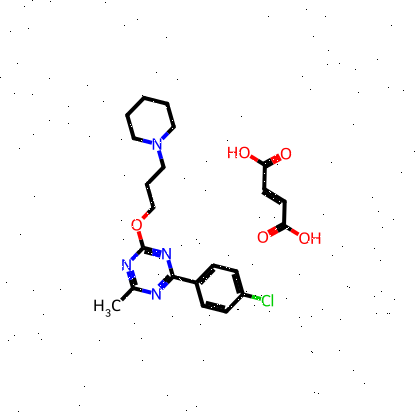 Cc1nc(OCCCN2CCCCC2)nc(-c2ccc(Cl)cc2)n1.O=C(O)C=CC(=O)O